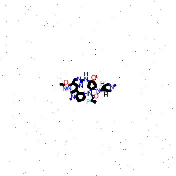 C=C(F)C(=O)Nc1cc(Nc2ncc(-c3nnc(C)o3)c(-c3cn(C)c4ccccc34)n2)c(OC)cc1N(C)[C@H]1[C@@H]2CN(C)C[C@@H]21